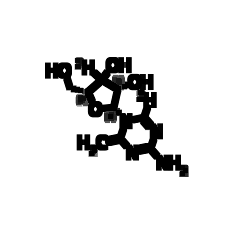 [2H]C1=NC(N)=NC(=C)N1[C@@H]1O[C@H](CO)C([2H])(O)[C@@H]1O